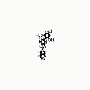 Cc1cc(Cl)cc(O)c1-c1cnc2oc(N3Cc4ccncc4C3)nc2n1